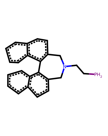 PCCN1Cc2ccc3ccccc3c2-c2c(ccc3ccccc23)C1